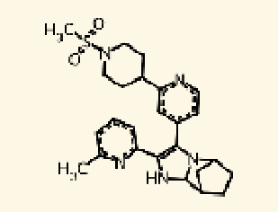 Cc1cccc(C2=C(c3ccnc(C4CCN(S(C)(=O)=O)CC4)c3)N3C4CCC(C4)C3N2)n1